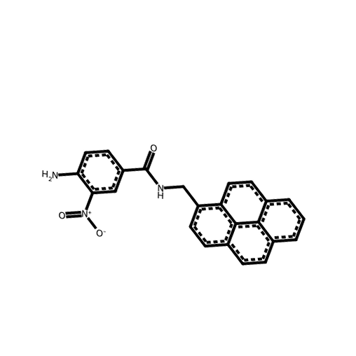 Nc1ccc(C(=O)NCc2ccc3ccc4cccc5ccc2c3c45)cc1[N+](=O)[O-]